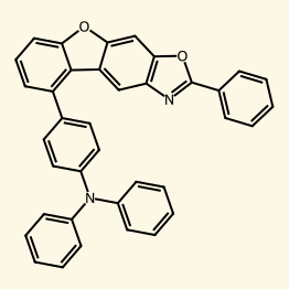 c1ccc(-c2nc3cc4c(cc3o2)oc2cccc(-c3ccc(N(c5ccccc5)c5ccccc5)cc3)c24)cc1